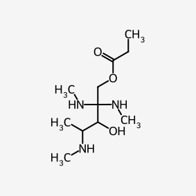 CCC(=O)OCC(NC)(NC)C(O)C(C)NC